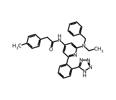 CCN(Cc1ccccc1)c1cc(NC(=O)Cc2ccc(C)cc2)cc(-c2ccccc2-c2nnn[nH]2)n1